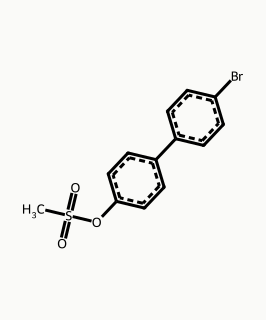 CS(=O)(=O)Oc1ccc(-c2ccc(Br)cc2)cc1